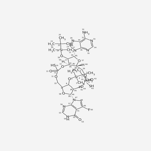 CC(C)(C)[Si](C)(C)OC1C2COP(=O)(S)O[C@H]3C(O[Si](C)(C)C(C)(C)C)[C@H](n4cnc5c(N)ncnc54)O[C@@H]3COP(=O)(S)O[C@H]1[C@H](n1cc(F)c3c(=O)[nH]cnc31)O2